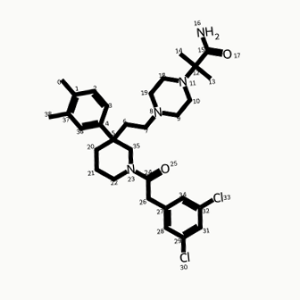 Cc1ccc(C2(CCN3CCN(C(C)(C)C(N)=O)CC3)CCCN(C(=O)Cc3cc(Cl)cc(Cl)c3)C2)cc1C